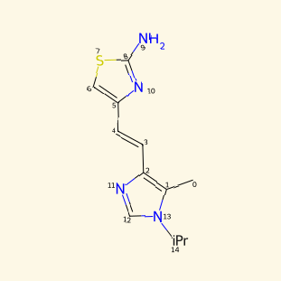 Cc1c(C=Cc2csc(N)n2)ncn1C(C)C